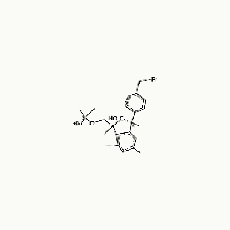 Cc1cc(C)c(C(C)(C)CO[Si](C)(C)C(C)(C)C)c([C@@](C)(C(=O)O)c2ccc(CC(C)C)cc2)c1